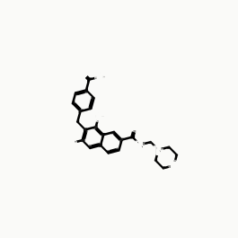 O=C(O)c1ccc(Cc2c(O)cc3ccc(C(=O)NCN4CCOCC4)cc3c2O)cc1